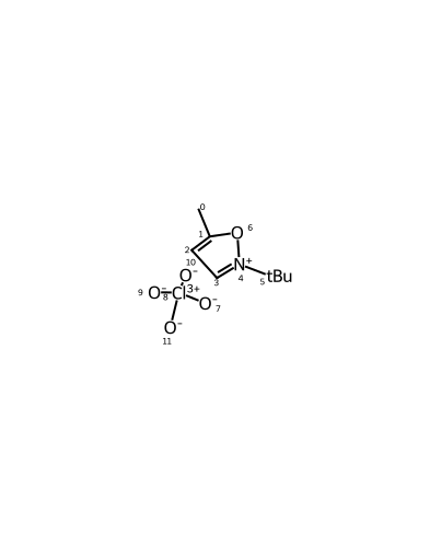 Cc1cc[n+](C(C)(C)C)o1.[O-][Cl+3]([O-])([O-])[O-]